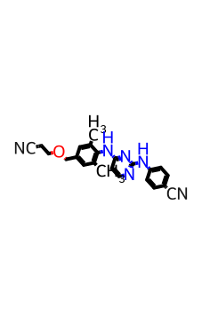 Cc1cc(COCCC#N)cc(C)c1Nc1ccnc(Nc2ccc(C#N)cc2)n1